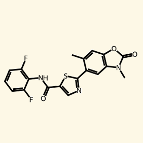 Cc1cc2oc(=O)n(C)c2cc1-c1ncc(C(=O)Nc2c(F)cccc2F)s1